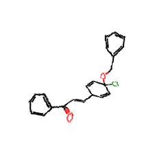 O=C(/C=C/C1C=CC(Cl)(OCc2ccccc2)C=C1)c1ccccc1